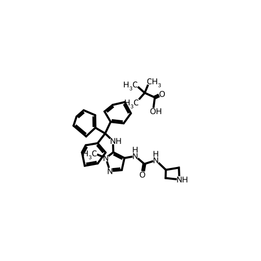 CC(C)(C)C(=O)O.Cn1ncc(NC(=O)NC2CNC2)c1NC(c1ccccc1)(c1ccccc1)c1ccccc1